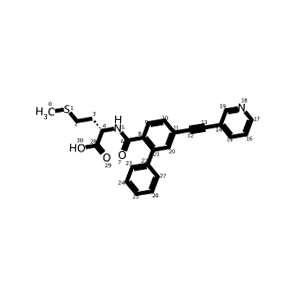 CSCC[C@H](NC(=O)c1ccc(C#Cc2cccnc2)cc1-c1ccccc1)C(=O)O